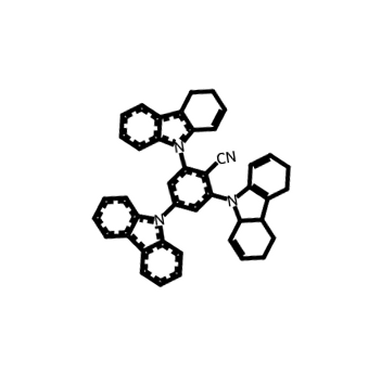 N#Cc1c(N2C3=C(CCC=C3)C3CCC=CC32)cc(-n2c3ccccc3c3ccccc32)cc1-n1c2c(c3ccccc31)CCC=C2